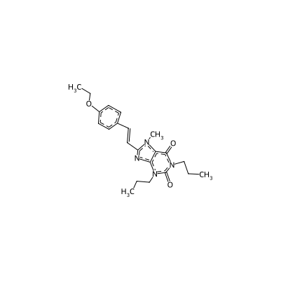 CCCn1c(=O)c2c(nc(C=Cc3ccc(OCC)cc3)n2C)n(CCC)c1=O